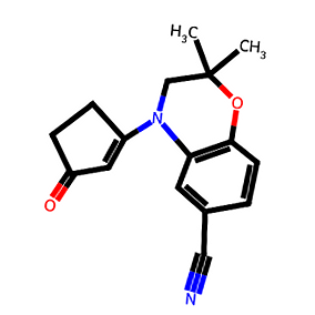 CC1(C)CN(C2=CC(=O)CC2)c2cc(C#N)ccc2O1